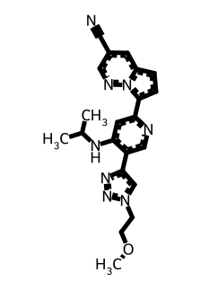 COCCn1cc(-c2cnc(-c3ccc4cc(C#N)cnn34)cc2NC(C)C)nn1